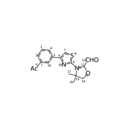 CC(=O)c1cccc(-c2csc(N3C(C=O)OCC3(C)C)n2)c1